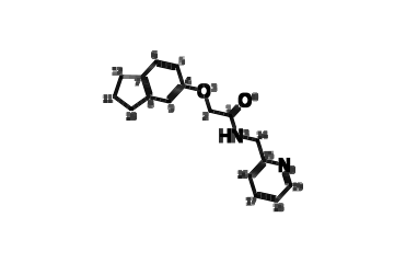 O=C(COc1ccc2c(c1)CCC2)NCc1ccccn1